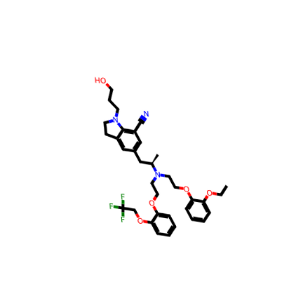 CCOc1ccccc1OCCN(CCOc1ccccc1OCC(F)(F)F)[C@H](C)Cc1cc(C#N)c2c(c1)CCN2CCCO